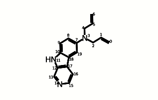 C=CCN(CC=C)c1ccc2[nH]c3cnccc3c2c1